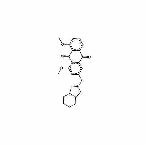 COc1cccc2c1C(=O)c1c(OC)cc(CN3CC4CCCCC4C3)cc1C2=O